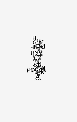 Cc1[nH]c(C(=O)N[C@@H]2CCN(c3nc(-c4ncnn4CC4CC4)c(C(=O)O)s3)C[C@@H]2F)c(Cl)c1Br